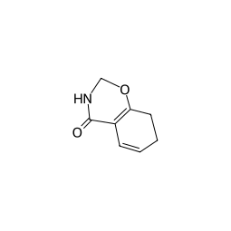 O=C1NCOC2=C1C=CCC2